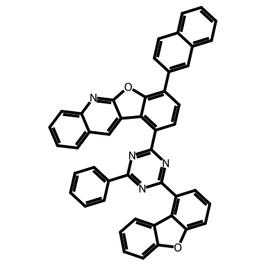 c1ccc(-c2nc(-c3cccc4oc5ccccc5c34)nc(-c3ccc(-c4ccc5ccccc5c4)c4oc5nc6ccccc6cc5c34)n2)cc1